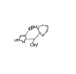 CC(C)(C)c1c[nH]nc1C(O)c1ccccc1